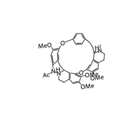 COc1cc2c3cc1Oc1ccc(cc1)CC[C@H]1c4cc(c(OC)cc4CCN1C)Oc1c(OC)c(OC)cc4c1[C@H](C3)N(CC4)N2C(C)=O